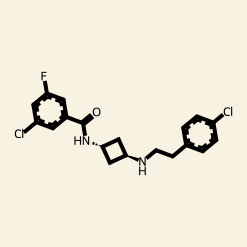 O=C(N[C@H]1C[C@H](NCCc2ccc(Cl)cc2)C1)c1cc(F)cc(Cl)c1